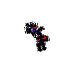 Cc1cc2c3c(c1)N(c1cc(-c4ccccc4)c(C(C)(C)C)cc1-c1ccccc1)c1cc4c(cc1B3c1ccc(C(C)(C)C)cc1N2c1ccc(CC(C)(C)c2cc(-c3ccccc3)c(N3c5cc6c(cc5B5c7ccc(C(C)(C)c8ccccc8)cc7N(c7cccc(C(C)(C)c8ccccc8)c7)c7cc(C)cc3c75)C(C)(C)CCC6(C)C)c(-c3ccccc3)c2)c(C(C)(C)c2ccccc2)c1)C(C)(C)CCC4(C)C